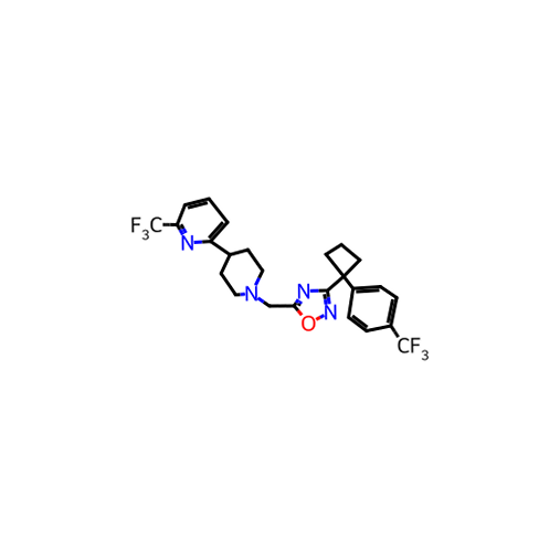 FC(F)(F)c1ccc(C2(c3noc(CN4CCC(c5cccc(C(F)(F)F)n5)CC4)n3)CCC2)cc1